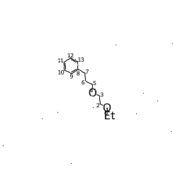 CCOCCOCCCc1ccccc1